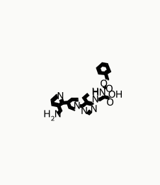 CCc1c(NCC(NC(=O)OCc2ccccc2)C(=O)O)ncnc1N1CCC(c2ncccc2CN)CC1